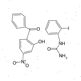 NC(=O)Nc1ccccc1I.O=C(c1ccccc1)c1ccc([N+](=O)[O-])cc1O